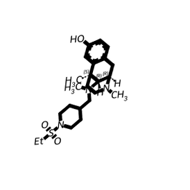 CCS(=O)(=O)N1CCC(CN(C)[C@H]2[C@H]3Cc4ccc(O)cc4[C@]2(C)CCN3C)CC1